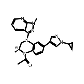 CC(=O)N1c2ccc(-c3cnn(C4CC4)c3)cc2N(c2nn(C)c3ncccc23)C[C@@H]1C